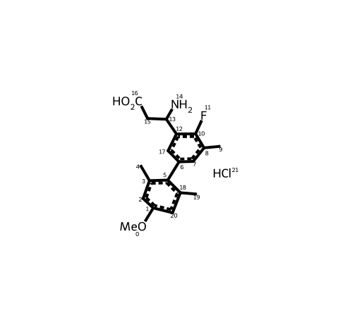 COc1cc(C)c(-c2cc(C)c(F)c(C(N)CC(=O)O)c2)c(C)c1.Cl